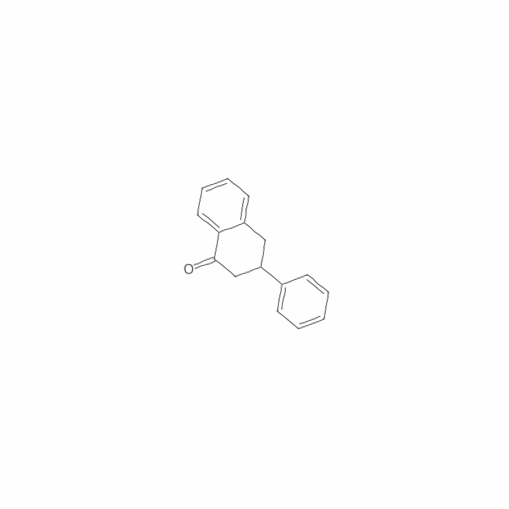 O=C1CC(c2ccccc2)Cc2ccccc21